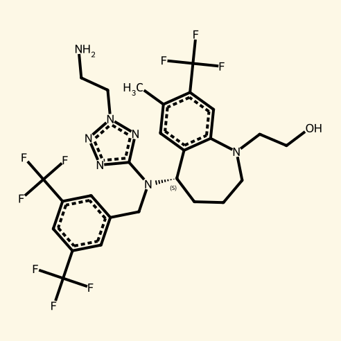 Cc1cc2c(cc1C(F)(F)F)N(CCO)CCC[C@@H]2N(Cc1cc(C(F)(F)F)cc(C(F)(F)F)c1)c1nnn(CCN)n1